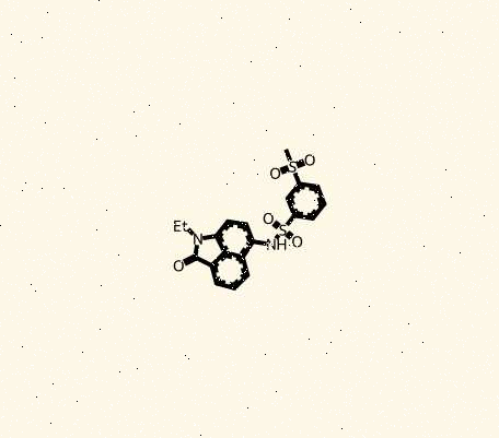 CCN1C(=O)c2cccc3c(NS(=O)(=O)c4cccc(S(C)(=O)=O)c4)ccc1c23